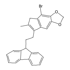 CC1=C(CCC2c3ccccc3-c3ccccc32)c2cc3c(c(Br)c2C1)OCO3